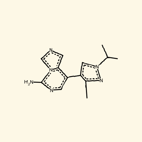 Cc1nn(C(C)C)cc1-c1cnc(N)n2cncc12